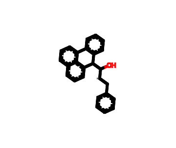 OC([CH]Cc1ccccc1)C1c2ccccc2-c2cccc3cccc1c23